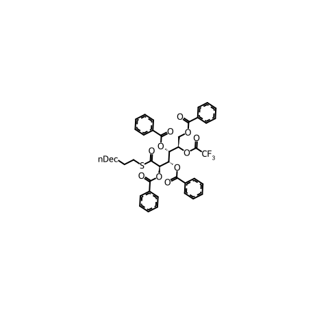 CCCCCCCCCCCCSC(=O)[C@H](OC(=O)c1ccccc1)[C@@H](OC(=O)c1ccccc1)[C@H](OC(=O)c1ccccc1)[C@@H](COC(=O)c1ccccc1)OC(=O)C(F)(F)F